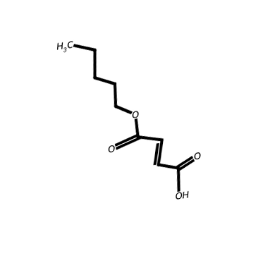 CCCCCOC(=O)C=CC(=O)O